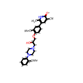 COc1cc(-c2cc(C#N)c(=O)[nH]c2C)ccc1OCC(O)CN1CCN(c2ccccc2OC)CC1